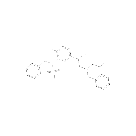 CS(=O)(=O)N(Cc1ccccc1)c1cc([C@@H](O)CN(CCO)Cc2ccccc2)ccc1Cl